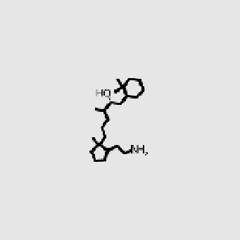 CC(CCCC1(C)CCCC1CCN)[C@H](O)CC1CCCCC1(C)C